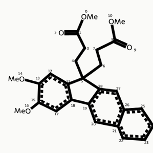 COC(=O)CCC1(CCC(=O)OC)c2cc(OC)c(OC)cc2-c2cc3ccccc3cc21